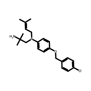 CC(C)=CCN(CC(C)(C)N)c1ccc(OCc2ccc(Cl)cc2)cc1